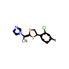 N#C/C(=C1/SCC(c2ccc(I)cc2Cl)S1)n1ccnc1